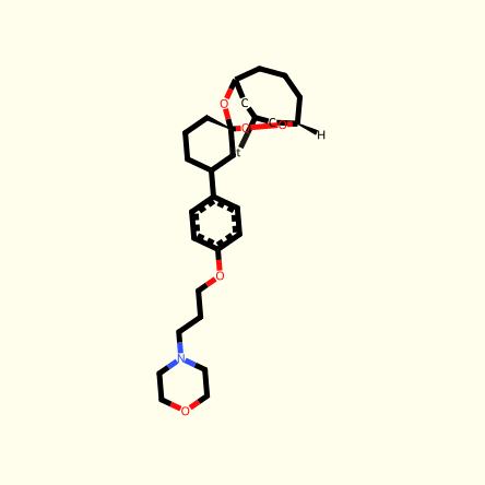 CCC1CC2CCC[C@@H](C1)OO[C@@]1(CCCC(c3ccc(OCCCN4CCOCC4)cc3)C1)O2